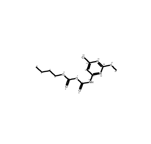 CCCCOC(=O)OC(=O)Nc1cc(Cl)nc(SC)n1